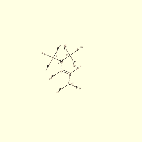 F/C(=C(/F)N(C(F)(F)F)C(F)(F)F)N(F)F